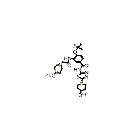 CN1CCN(CC(=O)Nc2cc(C(=O)Nc3nnc(N4CCC(O)CC4)s3)ccc2OC(F)(F)F)CC1